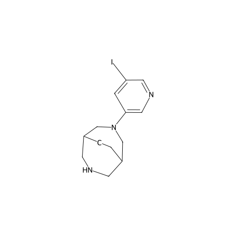 Ic1cncc(N2CC3CCC(CNC3)C2)c1